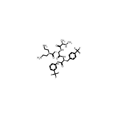 CN[C@H](C)C(=O)N[C@@H](CC(=O)N(CCN)CCN)C(=O)N[C@@H](Cc1ccc(C(F)(F)F)cc1)C(=O)Nc1cccc(C(F)(F)F)c1